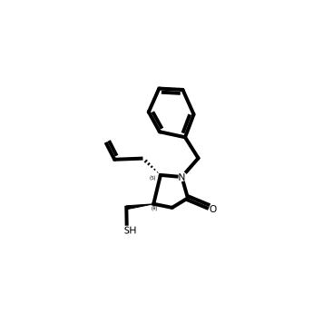 C=CC[C@H]1[C@H](CS)CC(=O)N1Cc1ccccc1